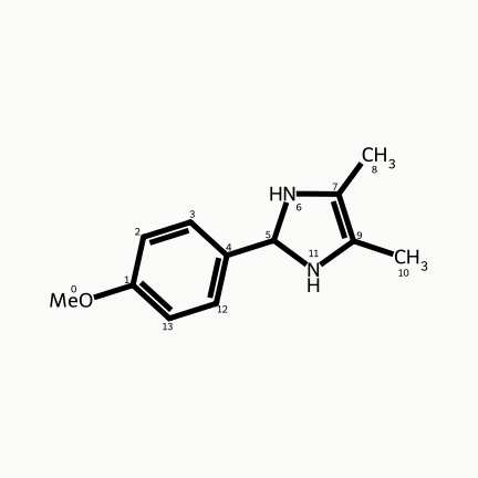 COc1ccc(C2NC(C)=C(C)N2)cc1